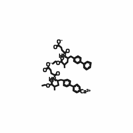 CCOC(=O)C(C)CC(Cc1ccc(-c2ccccc2)cc1)NC(=O)CCC(=O)[O-].CCOC(=O)C(C)CC(Cc1ccc(-c2ccccc2)cc1)NC(=O)CCC(=O)[O-].[Ca+2]